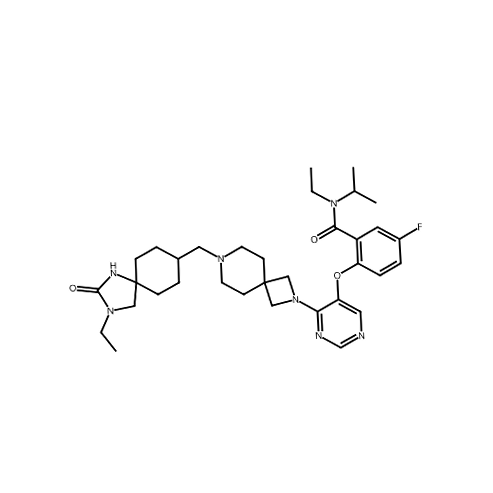 CCN1CC2(CCC(CN3CCC4(CC3)CN(c3ncncc3Oc3ccc(F)cc3C(=O)N(CC)C(C)C)C4)CC2)NC1=O